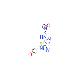 COc1ccc(C2=CS/C(=C(/C#N)c3ccnc(NCCCN4CCCC4=O)n3)N2)cc1